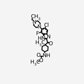 CCN1CCN(c2c(Cl)cc3nc(C(=O)C4(C)CCC(NC(=O)OC)CC4)[nH]c3c2F)CC1